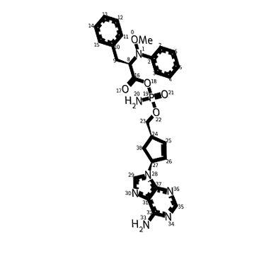 CON(c1ccccc1)[C@H](Cc1ccccc1)C(=O)OP(N)(=O)OC[C@H]1C=C[C@@H](n2cnc3c(N)ncnc32)C1